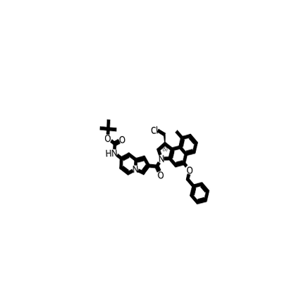 Cc1cccc2c(OCc3ccccc3)cc3c(c12)[C@H](CCl)CN3C(=O)c1cc2cc(NC(=O)OC(C)(C)C)ccn2c1